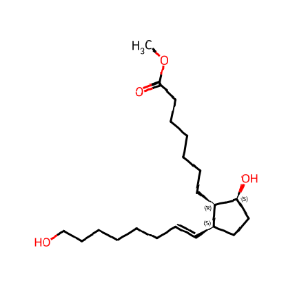 COC(=O)CCCCCC[C@@H]1[C@H](C=CCCCCCCO)CC[C@@H]1O